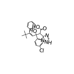 CC(C)(C)C(=CC(O)(c1ccc(Cl)cc1)C(C(=O)O)c1nc[nH]n1)c1ccccc1